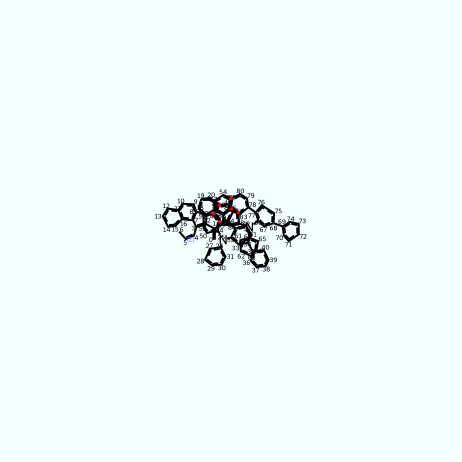 C=C1C2=C(/C=C\C)c3c(ccc4ccccc34)C23c2c(ccc4cc(N(c5ccccc5)c5cc(-c6ccccc6)ccc5-c5ccccc5)ccc24)-c2ccc4cc(N(c5ccccc5)c5cc(-c6ccccc6)ccc5-c5ccccc5)cc1c4c23